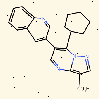 O=C(O)c1cnn2c(C3CCCCC3)c(-c3cnc4ccccc4c3)cnc12